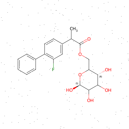 CC(C(=O)OCC1O[C@H](O)C(O)C(O)[C@H]1O)c1ccc(-c2ccccc2)c(F)c1